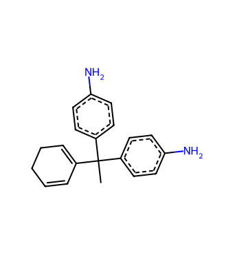 CC(C1=CCCC=C1)(c1ccc(N)cc1)c1ccc(N)cc1